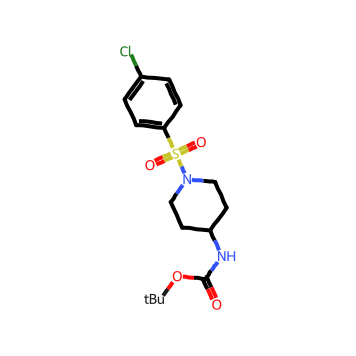 CC(C)(C)OC(=O)NC1CCN(S(=O)(=O)c2ccc(Cl)cc2)CC1